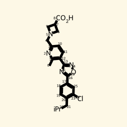 Cc1nc(CN2CC(C(=O)O)C2)ccc1-c1noc(-c2ccc(CC(C)C)c(Cl)c2)n1